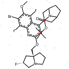 COc1c(Br)c(F)c2nc(OC[C@@]34CCCN3C[C@H](F)C4)nc(N3CC4CCC(C3)N4C(=O)OC(C)(C)C)c2c1F